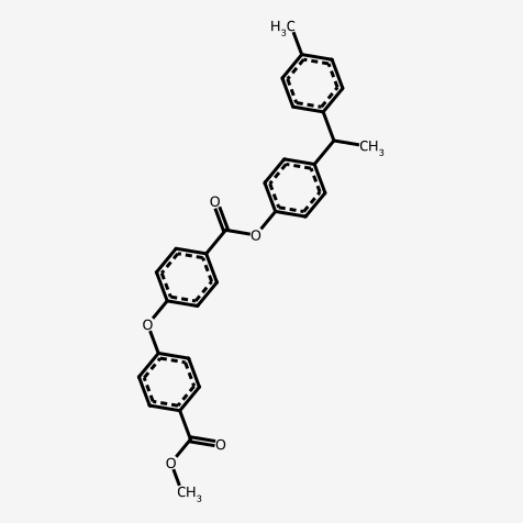 COC(=O)c1ccc(Oc2ccc(C(=O)Oc3ccc(C(C)c4ccc(C)cc4)cc3)cc2)cc1